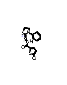 O=C(N/N=C1/SCCN1c1ccccc1)c1ccc(Cl)s1